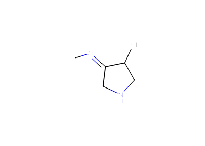 C/N=C1\CNCC1C